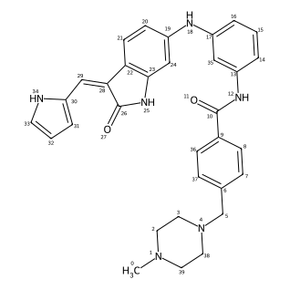 CN1CCN(Cc2ccc(C(=O)Nc3cccc(Nc4ccc5c(c4)NC(=O)C5=Cc4ccc[nH]4)c3)cc2)CC1